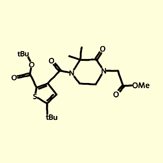 COC(=O)CN1CCN(C(=O)c2cc(C(C)(C)C)sc2C(=O)OC(C)(C)C)C(C)(C)C1=O